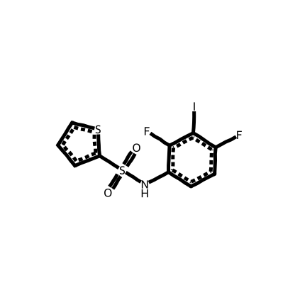 O=S(=O)(Nc1ccc(F)c(I)c1F)c1cccs1